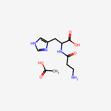 CC(=O)O.NCCC(=O)NC(Cc1c[nH]cn1)C(=O)O